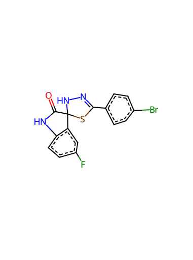 O=C1Nc2ccc(F)cc2C12NN=C(c1ccc(Br)cc1)S2